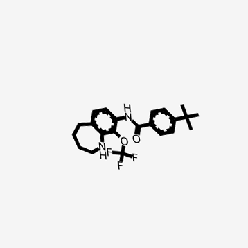 CC(C)(C)c1ccc(C(=O)Nc2ccc3c(c2OC(F)(F)F)NCCCC3)cc1